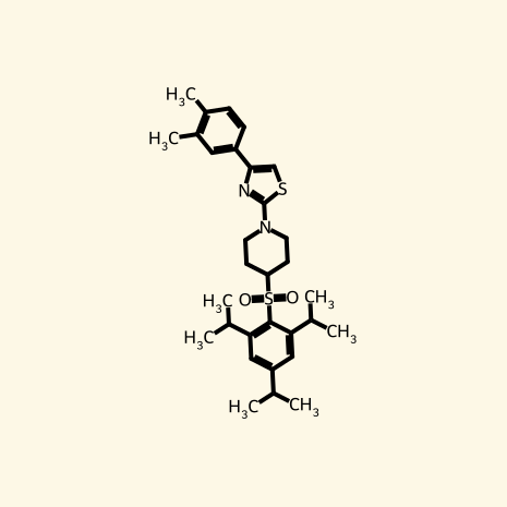 Cc1ccc(-c2csc(N3CCC(S(=O)(=O)c4c(C(C)C)cc(C(C)C)cc4C(C)C)CC3)n2)cc1C